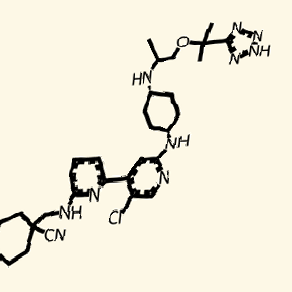 CC(COC(C)(C)c1nn[nH]n1)N[C@H]1CC[C@H](Nc2cc(-c3cccc(NCC4(C#N)CCOCC4)n3)c(Cl)cn2)CC1